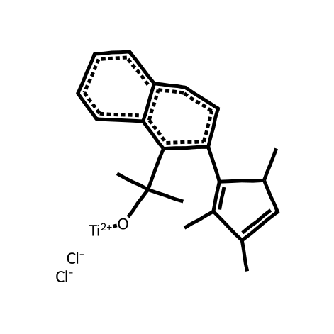 CC1=CC(C)C(c2ccc3ccccc3c2C(C)(C)[O][Ti+2])=C1C.[Cl-].[Cl-]